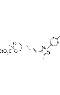 CCOC(=O)[C@]1(C)OC[C@H](CCC=Cc2nc(-c3ccc(C)cc3)oc2C)CO1